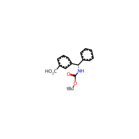 CC(C)(C)OC(=O)N[C@@H](c1ccccc1)c1cccc(C(=O)O)c1